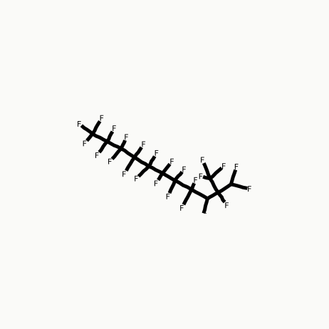 [CH2]C(C(F)(F)C(F)(F)C(F)(F)C(F)(F)C(F)(F)C(F)(F)C(F)(F)C(F)(F)F)C(F)([C](F)F)C(F)(F)F